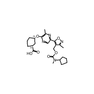 Cc1nc(-c2onc(C)c2COC(=O)N(C)C2CCCC2)cnc1O[C@H]1CCC[C@H](C(=O)O)C1